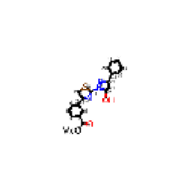 COC(=O)c1cccc(-c2csc(-n3nc(-c4ccccc4)cc3O)n2)c1